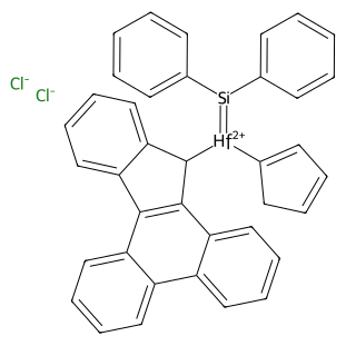 C1=CC[C]([Hf+2]([CH]2c3ccccc3-c3c2c2ccccc2c2ccccc32)=[Si](c2ccccc2)c2ccccc2)=C1.[Cl-].[Cl-]